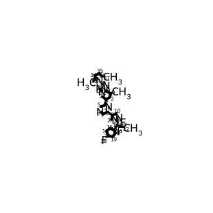 Cc1cc(-c2cncc(-c3cnn(C(c4ccc(F)cc4)C(C)(F)F)c3)n2)cn2nc(-n3c(C)ccc3C)nc12